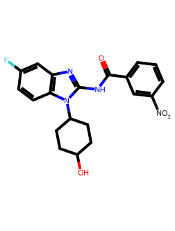 O=C(Nc1nc2cc(F)ccc2n1C1CCC(O)CC1)c1cccc([N+](=O)[O-])c1